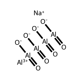 [Al+3].[Na+].[O]=[Al][O-].[O]=[Al][O-].[O]=[Al][O-].[O]=[Al][O-]